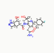 CCOc1c(CC(N)=O)cc([C@@](O)(CNC(=O)c2cc(O)c3[nH]ncc3c2)C(F)(F)F)nc1-c1ccc(F)cc1